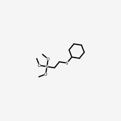 CO[Si](CCSC1CCCCC1)(OC)OC